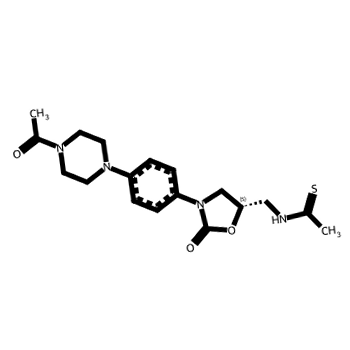 CC(=O)N1CCN(c2ccc(N3C[C@H](CNC(C)=S)OC3=O)cc2)CC1